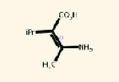 C/C(N)=C(/C(=O)O)C(C)C